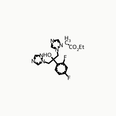 CCOC(C)=O.OC(Cn1cncn1)(Cn1cncn1)c1ccc(F)cc1F